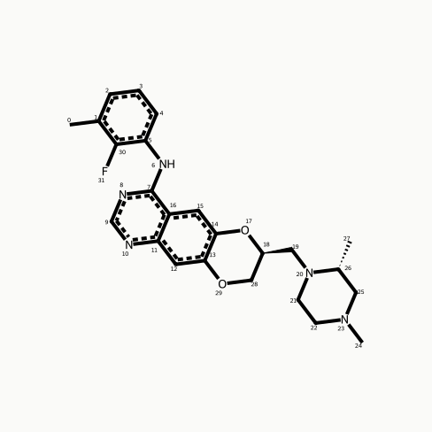 Cc1cccc(Nc2ncnc3cc4c(cc23)O[C@@H](CN2CCN(C)C[C@H]2C)CO4)c1F